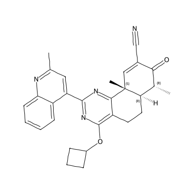 Cc1cc(-c2nc(OC3CCC3)c3c(n2)[C@]2(C)C=C(C#N)C(=O)[C@H](C)[C@H]2CC3)c2ccccc2n1